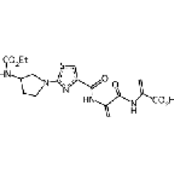 C=C(NC(=O)C(=C)NC(=O)c1csc(N2CCC(NC(=O)OCC)C2)n1)C(=O)O